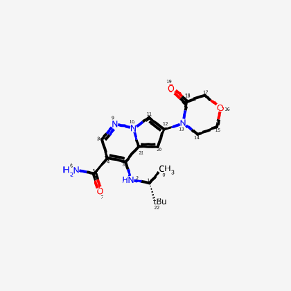 C[C@@H](Nc1c(C(N)=O)cnn2cc(N3CCOCC3=O)cc12)C(C)(C)C